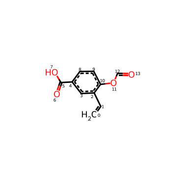 C=Cc1cc(C(=O)O)ccc1OC=O